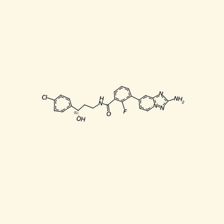 Nc1nc2cc(-c3cccc(C(=O)NCC[C@H](O)c4ccc(Cl)cc4)c3F)ccn2n1